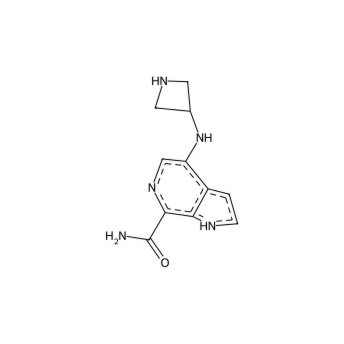 NC(=O)c1ncc(NC2CNC2)c2cc[nH]c12